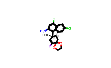 Nc1cc(Cl)ccc1[C@@]1(C=O)C=C(I)C2(C[C@H]1c1cccc(Cl)c1)OCCO2